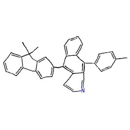 Cc1ccc(-c2c3ccccc3c(-c3ccc4c(c3)C(C)(C)c3ccccc3-4)c3ccncc23)cc1